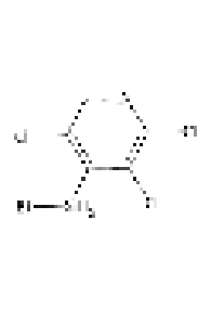 CC[SiH2]c1c(Cl)cnc(Cl)c1Cl